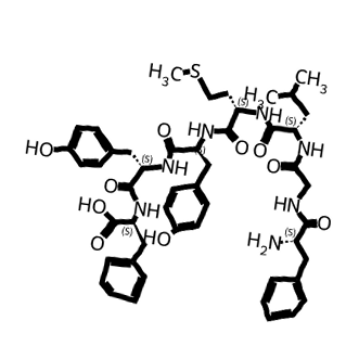 CSCC[C@H](NC(=O)[C@H](CC(C)C)NC(=O)CNC(=O)[C@@H](N)Cc1ccccc1)C(=O)N[C@@H](Cc1ccc(O)cc1)C(=O)N[C@@H](Cc1ccc(O)cc1)C(=O)N[C@@H](Cc1ccccc1)C(=O)O